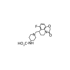 O=C(O)NC1CCN(CC2CCN3C(=O)COc4ccc(F)c2c43)CC1